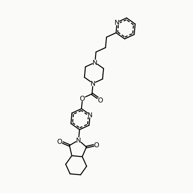 O=C(Oc1ccc(N2C(=O)C3CCCCC3C2=O)cn1)N1CCN(CCCc2ccccn2)CC1